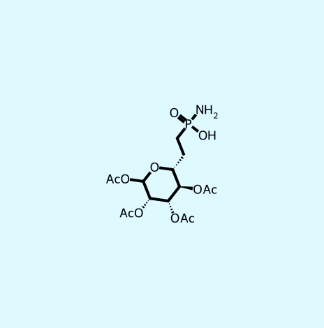 CC(=O)OC1O[C@H](CCP(N)(=O)O)[C@@H](OC(C)=O)[C@H](OC(C)=O)[C@@H]1OC(C)=O